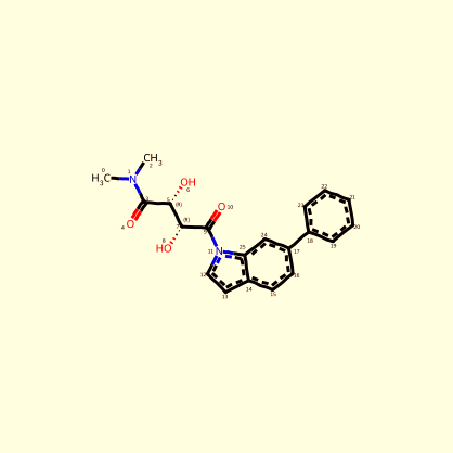 CN(C)C(=O)[C@H](O)[C@@H](O)C(=O)n1ccc2ccc(-c3ccccc3)cc21